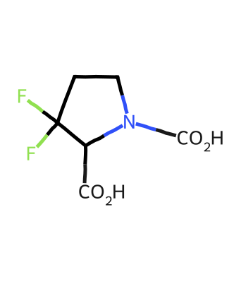 O=C(O)C1N(C(=O)O)CCC1(F)F